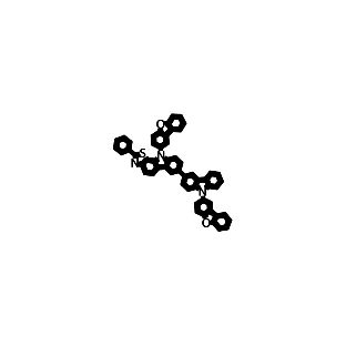 c1ccc(-c2nc3ccc4c5cc(-c6ccc7c(c6)c6ccccc6n7-c6ccc7oc8ccccc8c7c6)ccc5n(-c5ccc6oc7ccccc7c6c5)c4c3s2)cc1